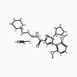 COc1cccc(OC)c1-c1cc(C(=O)N[C@H](CC#N)CCN2CCCCC2)nn1C1CCCC1